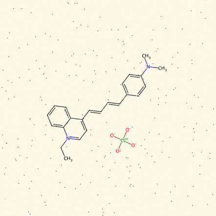 CC[n+]1ccc(C=CC=Cc2ccc(N(C)C)cc2)c2ccccc21.[O-][Cl+3]([O-])([O-])[O-]